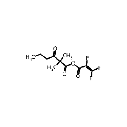 CCCC(=O)C(C)(C)C(=O)OC(=O)C(F)=C(F)F